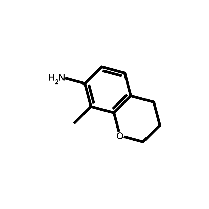 Cc1c(N)ccc2c1OCCC2